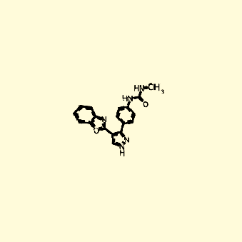 CNC(=O)Nc1ccc(-c2n[nH]cc2-c2nc3ccccc3o2)cc1